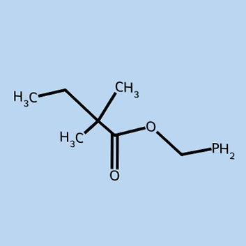 CCC(C)(C)C(=O)OCP